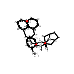 C[C@@H](COC(=O)N1C2CCC1CC(Nc1ccccc1N)C2)N(Cc1ccccc1)Cc1ccccc1